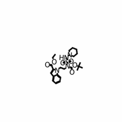 CCOC(=O)c1cc2ccccc2n1CCN(C(=O)OC(C)(C)C)S(=O)(=O)NN1CCCCC1